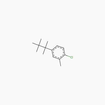 Cc1cc(C(C)(C)C(C)(C)C)ccc1Cl